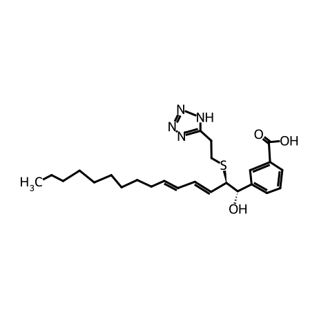 CCCCCCCCC/C=C/C=C/[C@@H](SCCc1nnn[nH]1)[C@@H](O)c1cccc(C(=O)O)c1